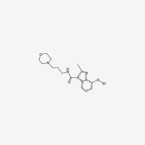 CCOc1cccn2c(C(=O)NCCCN3CCOCC3)c(C)nc12